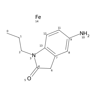 CCCN1C(=O)Cc2cc(N)ccc21.[Fe]